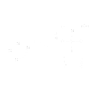 CCCCN(Oc1ccc(-n2cnnn2)cc1)S(=O)(=O)c1ccccc1